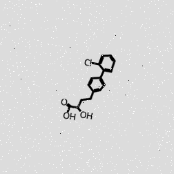 O=C(O)C(O)CCc1ccc(-c2ccccc2Cl)cc1